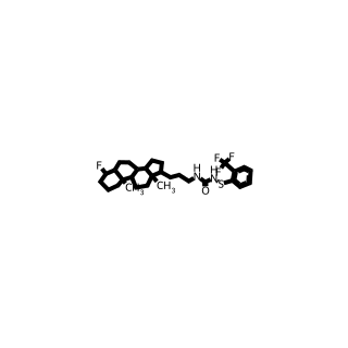 CC12CCC3C(CCC4C(F)CCCC43C)C1CCC2CCCNC(=O)NSc1ccccc1C(F)(F)F